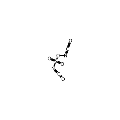 O=C=NOS(=O)(=O)N=C=O